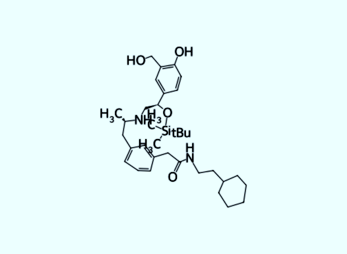 C[C@H](Cc1cccc(CC(=O)NCCC2CCCCC2)c1)NC[C@H](O[Si](C)(C)C(C)(C)C)c1ccc(O)c(CO)c1